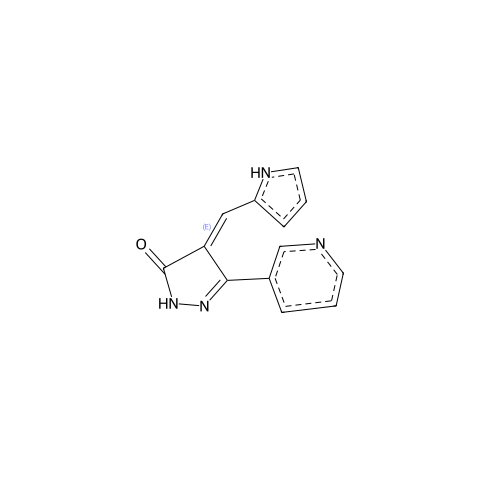 O=C1NN=C(c2cccnc2)/C1=C\c1ccc[nH]1